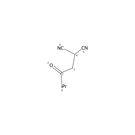 CC(C)C(=O)CC(C#N)C#N